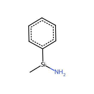 C[Si](N)c1ccccc1